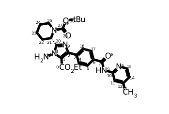 CCOC(=O)c1c(-c2ccc(C(=O)Nc3cc(C)ccn3)cc2)nc([C@@H]2CCCCN2C(=O)OC(C)(C)C)n1N